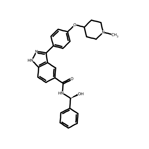 CN1CCC(Oc2ccc(-c3n[nH]c4ccc(C(=O)N[C@@H](O)c5ccccc5)cc34)cc2)CC1